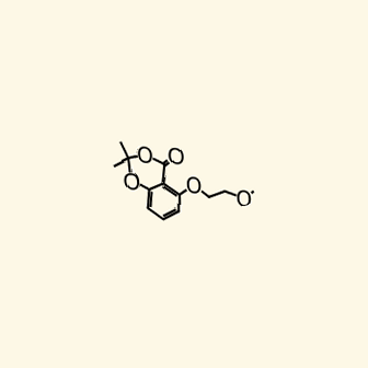 COCCOc1cccc2c1C(=O)OC(C)(C)O2